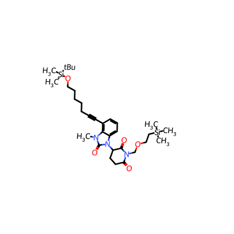 Cn1c(=O)n(C2CCC(=O)N(COCC[Si](C)(C)C)C2=O)c2cccc(C#CCCCCCO[Si](C)(C)C(C)(C)C)c21